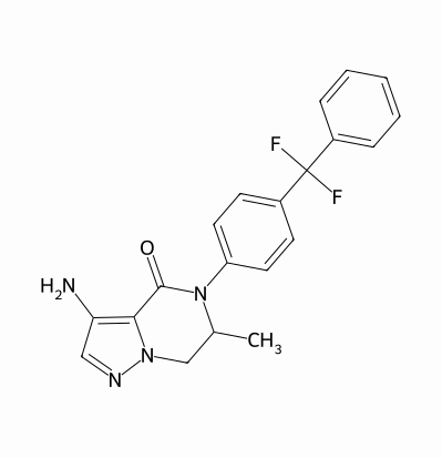 CC1Cn2ncc(N)c2C(=O)N1c1ccc(C(F)(F)c2ccccc2)cc1